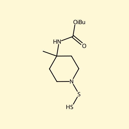 CC(C)COC(=O)NC1(C)CCN(SS)CC1